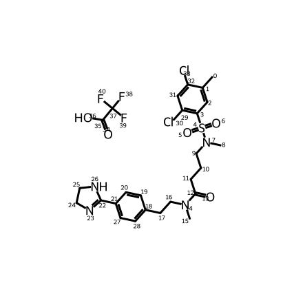 Cc1cc(S(=O)(=O)N(C)CCCC(=O)N(C)CCc2ccc(C3=NCCN3)cc2)c(Cl)cc1Cl.O=C(O)C(F)(F)F